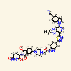 CNc1cc(-n2ccc3cc(C#N)ccc32)ncc1-c1nnc([C@H]2CC[C@H](NC(=O)CN3CCN(c4ccc5c(c4)C(=O)N(C4CCC(=O)NC4=O)C5=O)CC3)CC2)s1